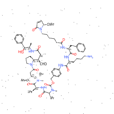 CC[C@H](C)[C@@H]([C@@H](CC(=O)N1CCC[C@H]1[C@H](C=O)[C@@H](C)C(=O)N[C@H](C)[C@@H](O)c1ccccc1)OC)N(C)C(=O)[C@@H](NC(=O)C(C(C)C)N(C)C(=O)OCc1ccc(NC(=O)[C@H](CCCCN)NC(=O)[C@H](Cc2ccccc2)NC(=O)CCCCCN2C(=O)C=CC2OC)cc1)C(C)C